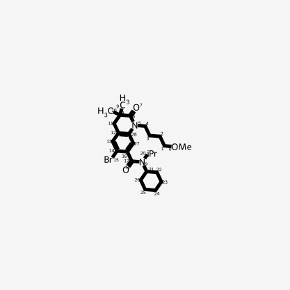 COCCCCN1C(=O)C(C)(C)Cc2cc(Br)c(C(=O)N(C(C)C)C3CCCCC3)cc21